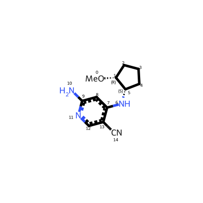 CO[C@@H]1CCC[C@@H]1Nc1cc(N)ncc1C#N